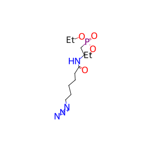 CCOP(=O)(CCNC(=O)CCCCCN=[N+]=[N-])OCC